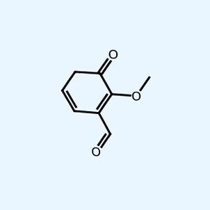 COC1=C(C=O)C=CCC1=O